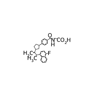 C=C(C1CCC(c2ccc(C(=O)NCC(=O)O)cc2)C1)[C@H](C)c1ccc(F)c2ccccc12